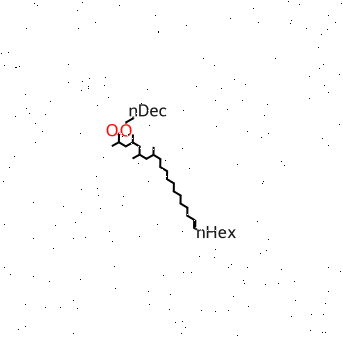 CCCCCCC=CCCCCCCCCCCC(C)CC(C)CC(C)CC(C)C(=O)OCCCCCCCCCCCC